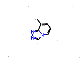 [CH2]c1cccn2cnnc12